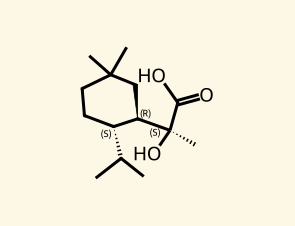 CC(C)[C@@H]1CCC(C)(C)C[C@H]1[C@](C)(O)C(=O)O